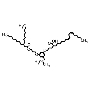 CCCCC/C=C\C/C=C\CCCCCCC(CCCOc1cc(CN(C)C)cc(OCCCOC(=O)CC(CCCCCCCC)CCCCCCCC)c1)C(=O)O